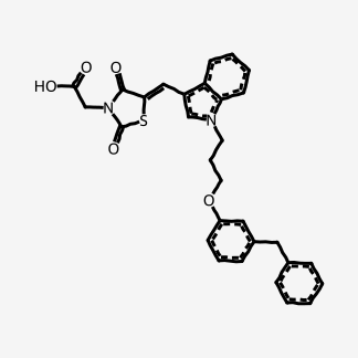 O=C(O)CN1C(=O)SC(=Cc2cn(CCCOc3cccc(Cc4ccccc4)c3)c3ccccc23)C1=O